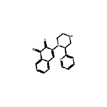 O=C1C(=O)c2ccccc2C=C1N1CCNCC1c1ccccn1